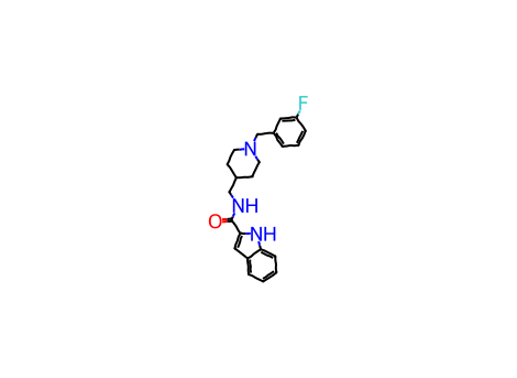 O=C(NCC1CCN(Cc2cccc(F)c2)CC1)c1cc2ccccc2[nH]1